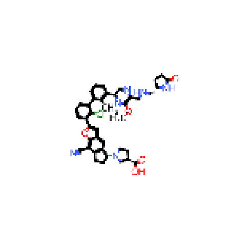 COc1nc(-c2cccc(-c3cccc(-c4cc5cc6c(c(C#N)c5o4)CC[C@H]6N4CC[C@@H](C(=O)O)C4)c3Cl)c2C)cnc1CNC[C@@H]1CCC(=O)N1